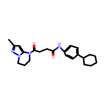 Cc1cc2n(n1)CCCN2C(=O)CCC(=O)Nc1ccc(C2CCCCC2)cc1